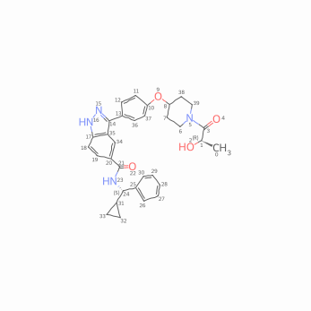 C[C@@H](O)C(=O)N1CCC(Oc2ccc(-c3n[nH]c4ccc(C(=O)N[C@H](c5ccccc5)C5CC5)cc34)cc2)CC1